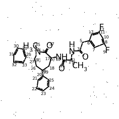 C[C@H](NC(=O)Cc1cc(F)cc(F)c1)C(=O)N[C@H]1C[C@@H](c2ccccc2)C[C@H](c2ccccc2)N(C)C1=O